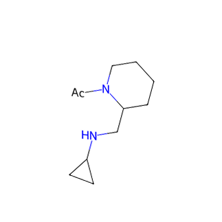 CC(=O)N1CCCCC1CNC1CC1